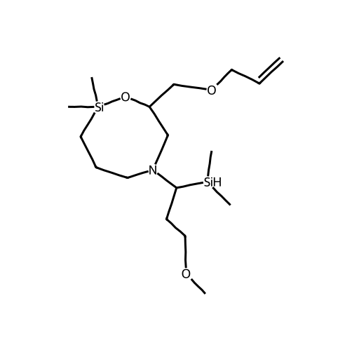 C=CCOCC1CN(C(CCOC)[SiH](C)C)CCC[Si](C)(C)O1